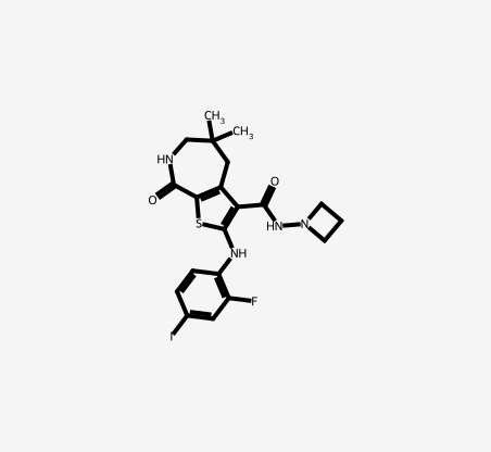 CC1(C)CNC(=O)c2sc(Nc3ccc(I)cc3F)c(C(=O)NN3CCC3)c2C1